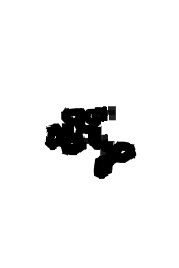 C#C/C(=C/C=C\Cn1c2ccccc2c2ccccc21)C(C)C1=C(C#N)CCC=C1n1c2ccccc2c2ccccc21